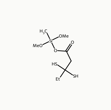 CCC(S)(S)CC(=O)O[Si](C)(OC)OC